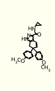 COc1ccc(C2(c3ccc(OC)cc3)C=Cc3c(C(=O)NC4CC4)n[nH]c3C2)cc1